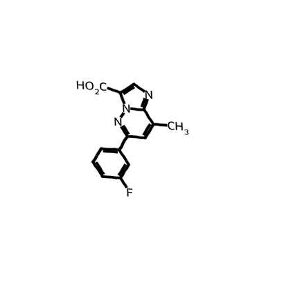 Cc1cc(-c2cccc(F)c2)nn2c(C(=O)O)cnc12